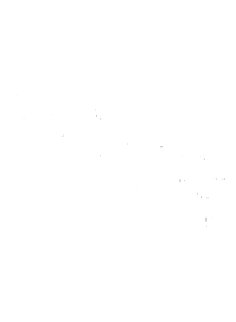 Cc1cc(C)cc(-c2noc(-c3ccc4c(c3)nnn4C(C)C)n2)c1